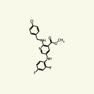 COC(=O)c1cc(Nc2ccc(F)cc2F)cnc1NCc1ccc(Cl)cc1